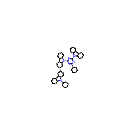 c1ccc(-c2nc(-n3c4ccccc4c4ccccc43)nc(-n3c4ccccc4c4ccc(-c5ccc6c(c5)c5ccccc5n6-c5ccccc5)cc43)n2)cc1